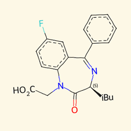 CCC(C)[C@@H]1N=C(c2ccccc2)c2cc(F)ccc2N(CC(=O)O)C1=O